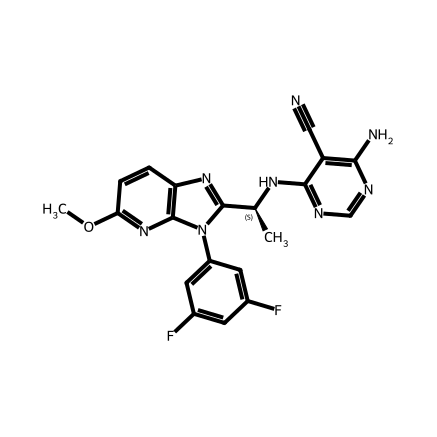 COc1ccc2nc([C@H](C)Nc3ncnc(N)c3C#N)n(-c3cc(F)cc(F)c3)c2n1